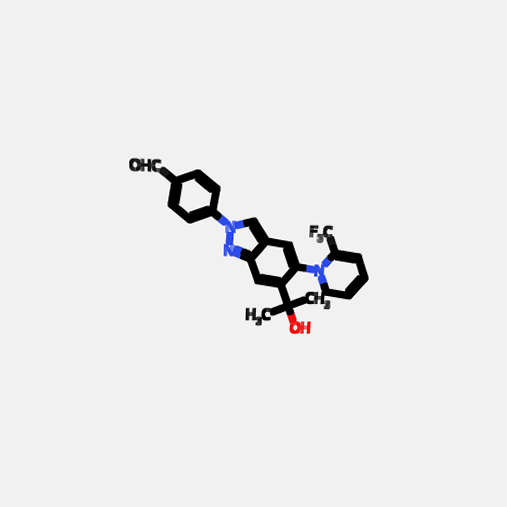 CC(C)(O)c1cc2nn(-c3ccc(C=O)cc3)cc2cc1N1CC=CC=C1C(F)(F)F